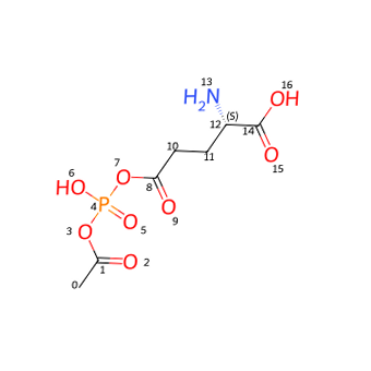 CC(=O)OP(=O)(O)OC(=O)CC[C@H](N)C(=O)O